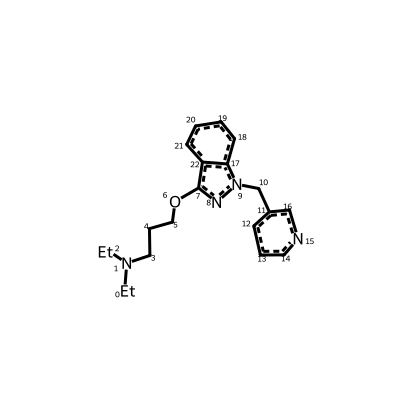 CCN(CC)CCCOc1nn(Cc2cccnc2)c2ccccc12